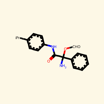 CC(C)c1ccc(NC(=O)C(N)(OC=O)c2ccccc2)cc1